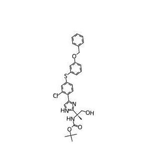 CC(C)(C)OC(=O)N[C@@](C)(CO)c1nc(-c2ccc(Sc3cccc(OCc4ccccc4)c3)cc2Cl)c[nH]1